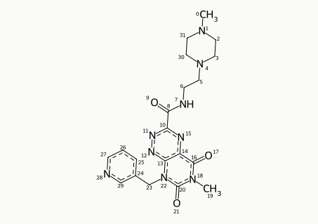 CN1CCN(CCNC(=O)c2nnc3c(n2)c(=O)n(C)c(=O)n3Cc2cccnc2)CC1